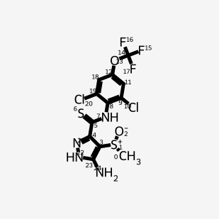 C[S+]([O-])c1c(C(=S)Nc2c(Cl)cc(OC(F)(F)F)cc2Cl)n[nH]c1N